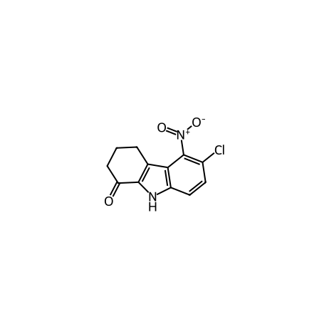 O=C1CCCc2c1[nH]c1ccc(Cl)c([N+](=O)[O-])c21